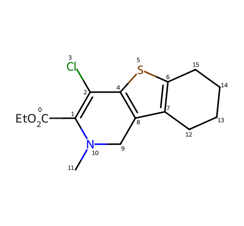 CCOC(=O)C1=C(Cl)c2sc3c(c2CN1C)CCCC3